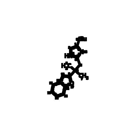 CC(C)(C)c1c[nH]c(CC(C)(C)c2cc3ccccc3o2)n1